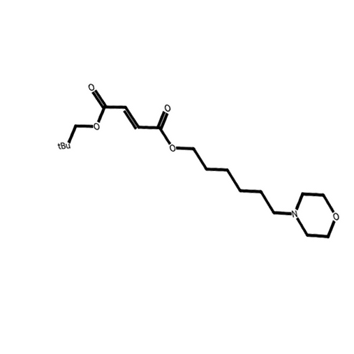 CC(C)(C)COC(=O)C=CC(=O)OCCCCCCN1CCOCC1